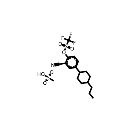 CCCC1CCC(c2ccc(OS(=O)(=O)C(F)(F)F)c(C#N)c2)CC1.CS(=O)(=O)O